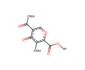 COC(=O)c1coc(C(=O)OC(C)C)c(OC)c1=O